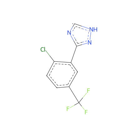 FC(F)(F)c1ccc(Cl)c(-c2n[c][nH]n2)c1